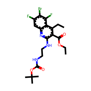 CCOC(=O)c1c(NCCNC(=O)OC(C)(C)C)nc2cc(F)c(Br)c(F)c2c1CC